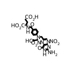 C#CCN(CC1=CN([N+](=O)[O-])c2nc(N)[nH]c(=O)c2N1[N+](=O)[O-])c1ccc(C(=O)N[C@@H](CCC(=O)O)C(=O)O)cc1